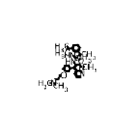 CC(C)c1cccc(C(C)C)c1NC(=O)Nc1c(-c2cccc(OCCCN(C)C)c2)c2cccnc2n(C)c1=O